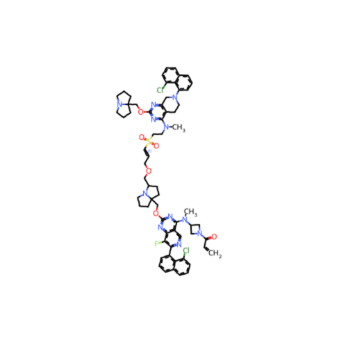 C=CC(=O)N1CC(N(C)c2nc(OCC34CCCN3C(COC/C=C/S(=O)(=O)CCN(C)c3nc(OCC56CCCN5CCC6)nc5c3CCN(c3cccc6cccc(Cl)c36)C5)CC4)nc3c(F)c(-c4cccc5cccc(Cl)c45)ncc23)C1